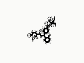 Cc1ccccc1C(CC(=O)c1ccc(=O)n(C)c1)c1ccc(C(=O)NC2(CO)CC2)cc1